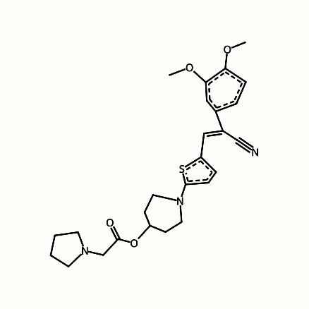 COc1ccc(C(C#N)=Cc2ccc(N3CCC(OC(=O)CN4CCCC4)CC3)s2)cc1OC